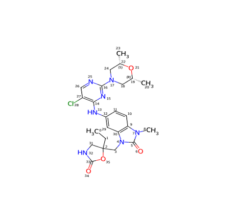 CCC1(Cn2c(=O)n(C)c3ccc(Nc4nc(N5C[C@@H](C)O[C@@H](C)C5)ncc4Cl)cc32)CNC(=O)O1